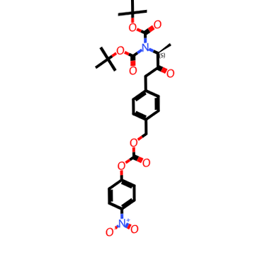 C[C@@H](C(=O)Cc1ccc(COC(=O)Oc2ccc([N+](=O)[O-])cc2)cc1)N(C(=O)OC(C)(C)C)C(=O)OC(C)(C)C